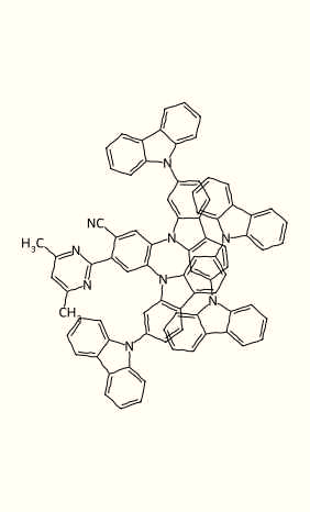 Cc1cc(C)nc(-c2cc(-n3c4cc(-n5c6ccccc6c6ccccc65)ccc4c4ccc(-n5c6ccccc6c6ccccc65)cc43)c(-n3c4cc(-n5c6ccccc6c6ccccc65)ccc4c4ccc(-n5c6ccccc6c6ccccc65)cc43)cc2C#N)n1